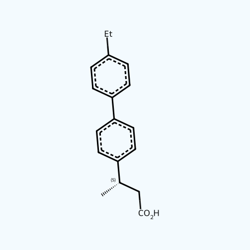 CCc1ccc(-c2ccc([C@@H](C)CC(=O)O)cc2)cc1